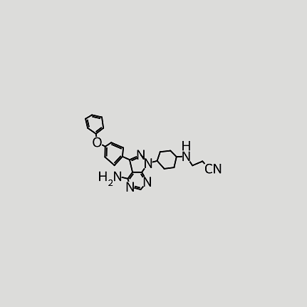 N#CCCNC1CCC(n2nc(-c3ccc(Oc4ccccc4)cc3)c3c(N)ncnc32)CC1